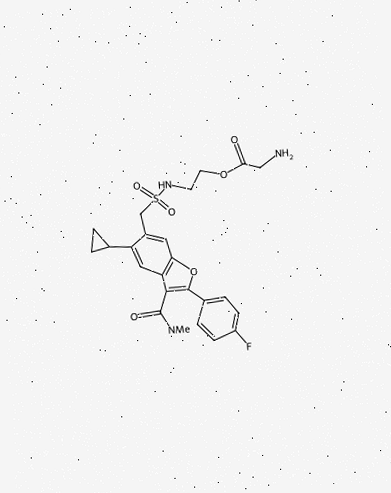 CNC(=O)c1c(-c2ccc(F)cc2)oc2cc(CS(=O)(=O)NCCOC(=O)CN)c(C3CC3)cc12